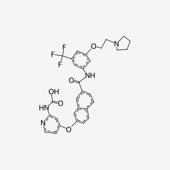 O=C(O)Nc1cc(Oc2ccc3ccc(C(=O)Nc4cc(OCCN5CCCC5)cc(C(F)(F)F)c4)cc3c2)ccn1